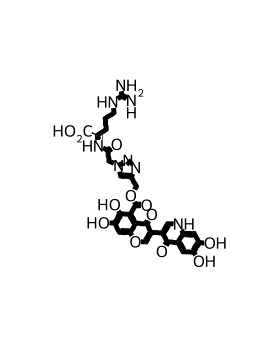 N=C(N)NCCC[C@H](NC(=O)Cn1cc(COC(=O)c2c(O)c(O)cc3occ(-c4c[nH]c5cc(O)c(O)cc5c4=O)c(=O)c23)nn1)C(=O)O